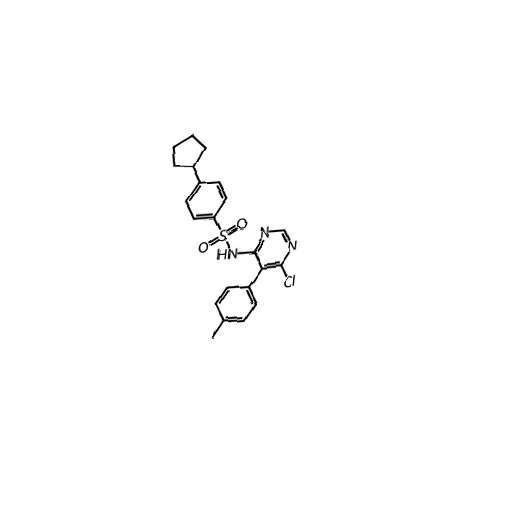 Cc1ccc(-c2c(Cl)ncnc2NS(=O)(=O)c2ccc(C3CCCC3)cc2)cc1